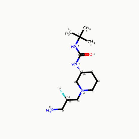 CC(C)(C)NC(=O)N[C@@H]1CCCN(C[C@H](F)CN)C1